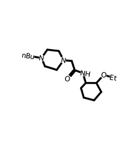 CCCCN1CCN(CC(=O)NC2CCCCC2OCC)CC1